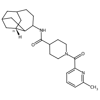 Cc1cccc(C(=O)N2CCC(C(=O)NC3CCC4CC5CC3[C@@H](C4)C5)CC2)n1